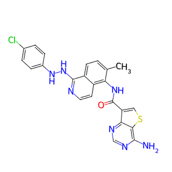 Cc1ccc2c(NNc3ccc(Cl)cc3)nccc2c1NC(=O)c1csc2c(N)ncnc12